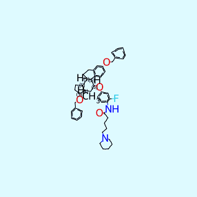 C[C@]12C[C@H](Oc3ccc(NC(=O)CCCCN4CCCCC4)c(F)c3)[C@@H]3c4ccc(OCc5ccccc5)cc4CC[C@H]3[C@@H]1CC[C@@H]2OCc1ccccc1